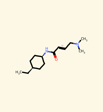 CC[C@H]1CC[C@@H](NC(=O)/C=C/CN(C)C)CC1